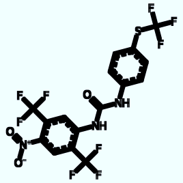 O=C(Nc1ccc(SC(F)(F)F)cc1)Nc1cc(C(F)(F)F)c([N+](=O)[O-])cc1C(F)(F)F